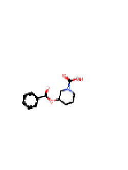 O=C(OC1CCCN(C(=O)O)C1)c1ccccc1